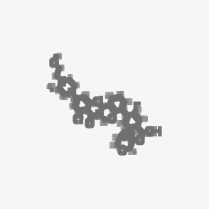 COCCN1CCN(c2cc(Cl)c(C(=O)N3COc4c(cccc4-c4cc(N5C6CCC5COC6)c(C(=O)O)cc4F)C3)c(Cl)c2)C[C@@H]1C